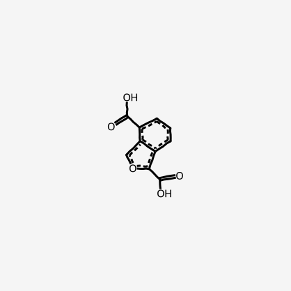 O=C(O)c1cccc2c(C(=O)O)occ12